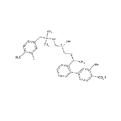 Cc1ccc(CC(C)(C)NC[C@H](O)COC(C)c2ccccc2-c2ccc(C(=O)O)c(C(C)(C)C)c2)cc1F